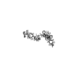 CC1(C(=O)NCc2cc(-c3ccc(C(F)(F)F)nc3)ncn2)CCN1S(=O)(=O)c1ccc(F)cc1